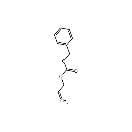 C=CCOC(=O)OCc1ccccc1